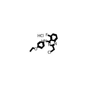 CCOc1ccc(Nc2nc(CCl)nc3cccc(F)c23)cc1.Cl